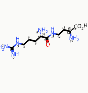 N=C(N)NCCC[C@H](N)C(=O)NCC[C@H](N)C(=O)O